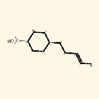 C/C=C/CC[C@H]1CC[C@H](C(=O)O)CC1